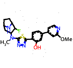 COc1cc(-c2ccc(-c3nnc(N(C)C4CC5CCC(N5)C4F)s3)c(O)c2)ccn1